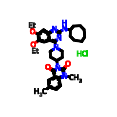 CCOc1cc2nc(NC3CCCCCCC3)nc(N3CCC(n4c(=O)c5cc(C)ccc5n(C)c4=O)CC3)c2cc1OCC.Cl